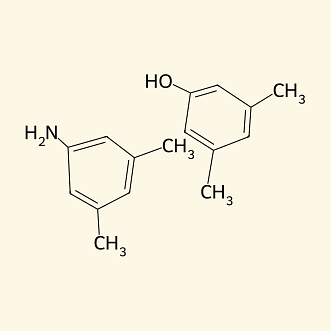 Cc1cc(C)cc(N)c1.Cc1cc(C)cc(O)c1